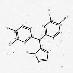 Cn1ccnc1C(c1ccc(F)c(F)c1)c1ccc(F)c(Cl)c1